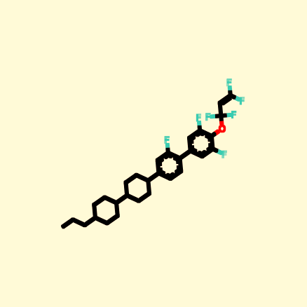 CCCC1CCC(C2CCC(c3ccc(-c4cc(F)c(OC(F)(F)C=C(F)F)c(F)c4)c(F)c3)CC2)CC1